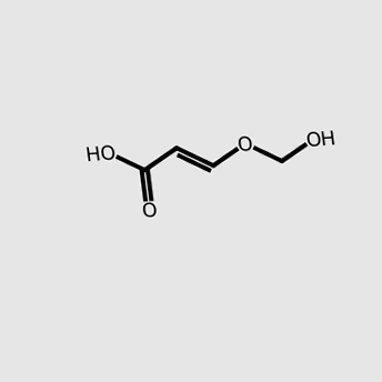 O=C(O)/C=C/OCO